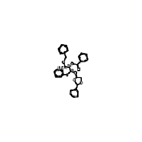 C[C@@H](OCc1ccccc1)[C@H](OC(=O)c1ccccc1)[C@@H](OC1COC(c2ccccc2)O1)Sc1ccccc1